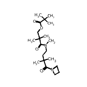 CN(CCC(C)(C)C(=O)N1CCC1)C(=O)C(C)(C)COC(=O)C(C)(C)C